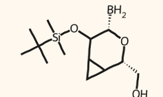 B[C@@H]1O[C@H](CO)C2CC2C1O[Si](C)(C)C(C)(C)C